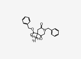 [2H]C([2H])([2H])C1(C(=O)OCc2ccccc2)CC(=O)N(Cc2ccccc2)CC1=O